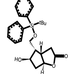 CC(C)(C)[Si](OC[C@@H]1[C@@H]2CC(=O)O[C@H]2C[C@H]1O)(c1ccccc1)c1ccccc1